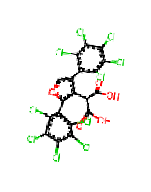 O=C(O)C(C(=O)O)c1c(-c2c(Cl)c(Cl)c(Cl)c(Cl)c2Cl)coc1-c1c(Cl)c(Cl)c(Cl)c(Cl)c1Cl